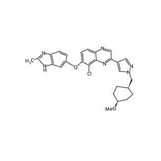 CO[C@H]1CC[C@@H](Cn2cc(-c3cnc4ccc(Oc5ccc6nc(C)[nH]c6c5)c(Cl)c4n3)cn2)CC1